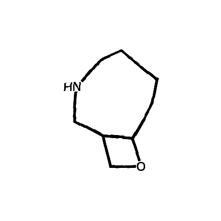 C1CCC2OCC2CNC1